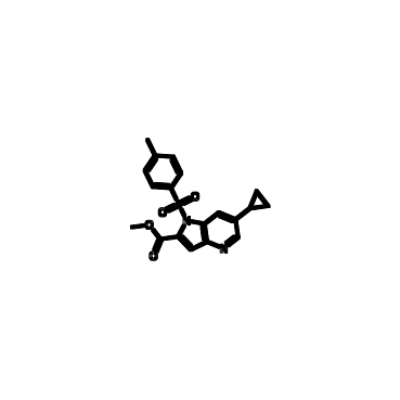 COC(=O)c1cc2ncc(C3CC3)cc2n1S(=O)(=O)c1ccc(C)cc1